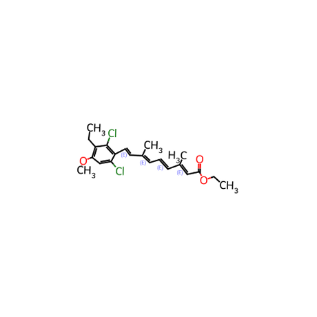 CCOC(=O)/C=C(C)/C=C/C=C(C)/C=C/c1c(Cl)cc(OC)c(CC)c1Cl